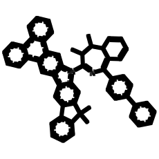 CC1C(n2c3cc4c(cc3c3cc5c6ccccc6c6ccccc6c5cc32)-c2ccccc2C4(C)C)=NC(c2ccc(-c3ccccc3)cc2)=C2C=CC=CC2C1C